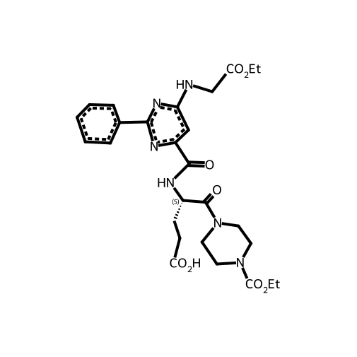 CCOC(=O)CNc1cc(C(=O)N[C@@H](CCC(=O)O)C(=O)N2CCN(C(=O)OCC)CC2)nc(-c2ccccc2)n1